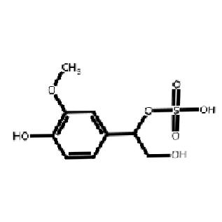 COc1cc(C(CO)OS(=O)(=O)O)ccc1O